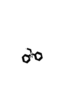 [CH2]C[SiH](c1ccccc1)c1ccccc1